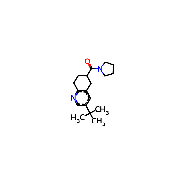 CC(C)(C)c1cnc2c(c1)CC(C(=O)N1CCCC1)CC2